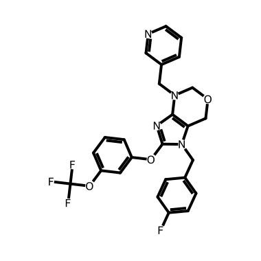 Fc1ccc(Cn2c(Oc3cccc(OC(F)(F)F)c3)nc3c2COCN3Cc2cccnc2)cc1